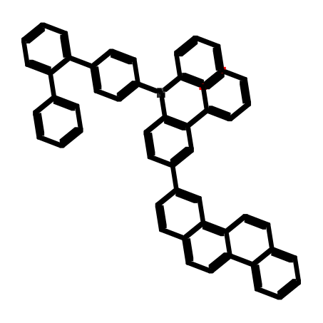 c1ccc(-c2ccccc2-c2ccc(N(c3ccccc3)c3ccc(-c4ccc5ccc6c7ccccc7ccc6c5c4)cc3-c3ccccc3)cc2)cc1